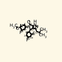 COc1ncc(N2C(=O)c3[nH]nc(CC(C)C)c3C2c2ccc(F)cc2F)cc1F